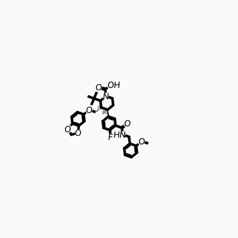 COc1ccccc1CNC(=O)c1cc([C@@H]2CCN(C(=O)O)C(C(C)(C)C)[C@H]2COc2ccc3c(c2)OCO3)ccc1F